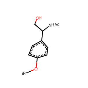 CC(=O)NC(CO)c1ccc(OC(C)C)cc1